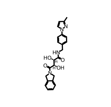 Cc1ccn(-c2ccc(CNC(=O)[C@H](O)[C@@H](O)C(=O)N3Cc4ccccc4C3)cc2)n1